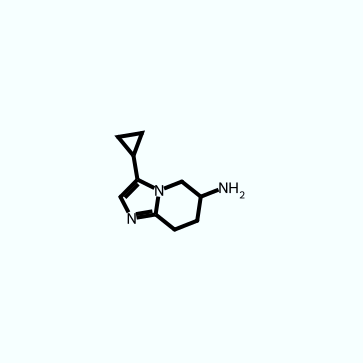 NC1CCc2ncc(C3CC3)n2C1